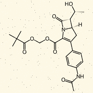 CC(=O)Nc1ccc(C2=C(C(=O)OCOC(=O)C(C)(C)C)N3C(=O)[C@H]([C@@H](C)O)[C@H]3C2)cc1